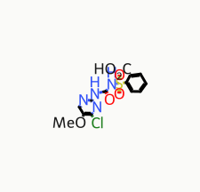 COc1cnc(NC(=O)NS(=O)(=O)c2ccccc2C(=O)O)nc1Cl